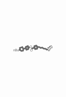 CCCCC1CCC(c2ccc(OC(=O)c3ccc(CCCCCC[Si](C)(C)C[Si](C)(C)C)cc3)cc2)CC1